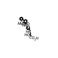 COC1(C(=O)Nc2ccc(CNCC(O)CC(=O)O)cn2)C=CC=C(c2ccccc2)C1Cl